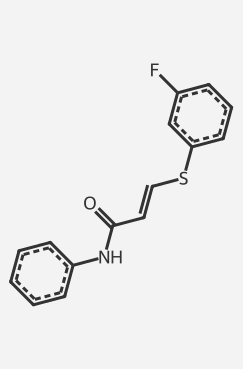 O=C(/C=C/Sc1cccc(F)c1)Nc1ccccc1